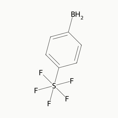 Bc1ccc(S(F)(F)(F)(F)F)cc1